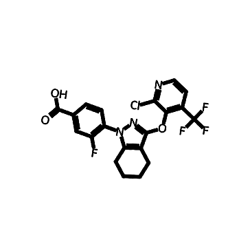 O=C(O)c1ccc(-n2nc(Oc3c(C(F)(F)F)ccnc3Cl)c3c2CCCC3)c(F)c1